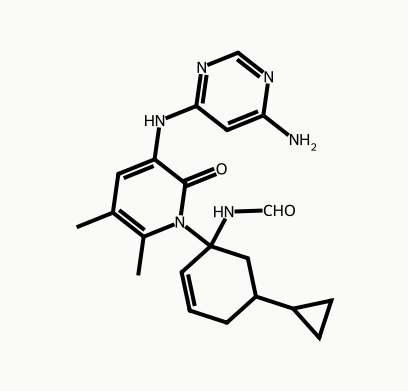 Cc1cc(Nc2cc(N)ncn2)c(=O)n(C2(NC=O)C=CCC(C3CC3)C2)c1C